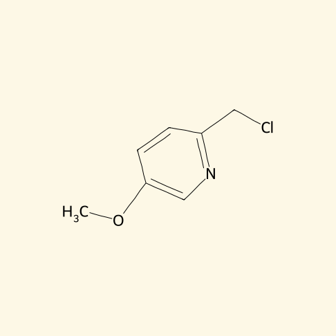 COc1ccc(CCl)nc1